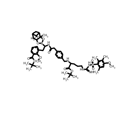 COc1cc(C)c(S(=O)(=O)NC(=N)NCCCC(NCc2ccc(CC(=O)NC(Cc3cccc(C(=O)OC(C)(C)C)c3OC)B3OC4CC5CC(C5(C)C)C4(C)O3)cc2)C(=O)OC(C)(C)C)c(C)c1C